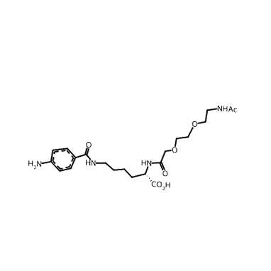 CC(=O)NCCOCCOCC(=O)N[C@@H](CCCCNC(=O)c1ccc(N)cc1)C(=O)O